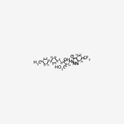 Cc1ccc(-c2ccc(CC[C@@H](O)[C@H](CCn3nnc4cc(C(F)(F)F)ccc4c3=O)C(=O)O)cc2)cc1